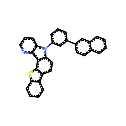 c1cc(-c2ccc3ccccc3c2)cc(-n2c3cccnc3c3c4sc5ccccc5c4ccc32)c1